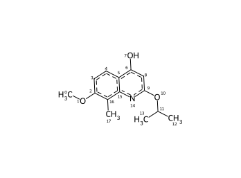 COc1ccc2c(O)cc(OC(C)C)nc2c1C